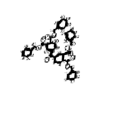 O=C(c1ccc(C(=O)OCc2ccccc2)c(C(=O)OCc2ccccc2)c1)c1ccc(C(=O)OCc2ccccc2)c(C(=O)OCc2ccccc2)c1